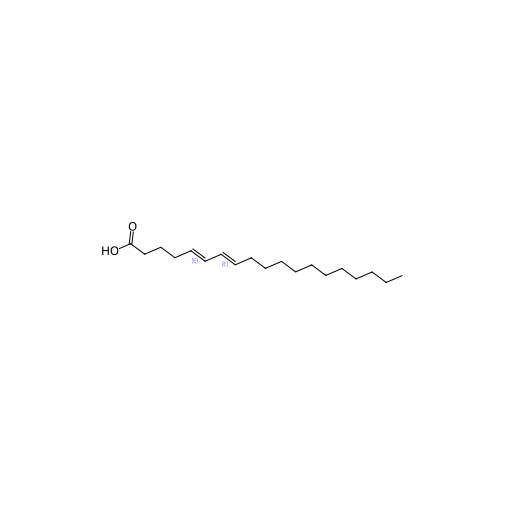 CCCCCCCCCCC/C=C/C=C/CCCC(=O)O